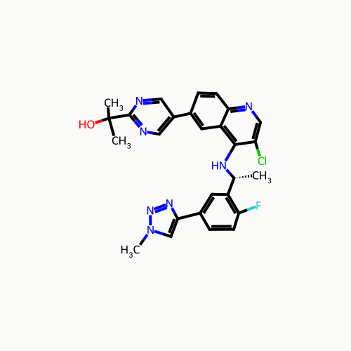 C[C@@H](Nc1c(Cl)cnc2ccc(-c3cnc(C(C)(C)O)nc3)cc12)c1cc(-c2cn(C)nn2)ccc1F